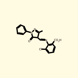 CC1=NN(c2ccccc2)C(=O)C1/C=N/c1c(Cl)cccc1C(=O)O